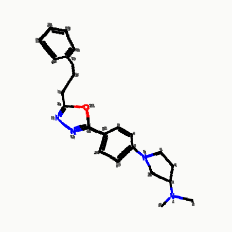 CN(C)C1CCN(c2ccc(-c3nnc(CCc4ccccc4)o3)cc2)C1